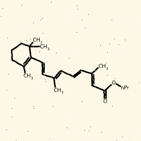 CCCOC(=O)C=C(C)C=CC=C(C)C=CC1=C(C)CCCC1(C)C